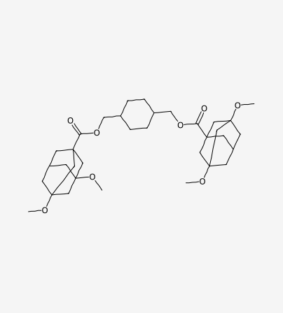 COC12CC3CC(OC)(C1)CC(C(=O)OCC1CCC(COC(=O)C45CC6CC(OC)(CC(OC)(C6)C4)C5)CC1)(C3)C2